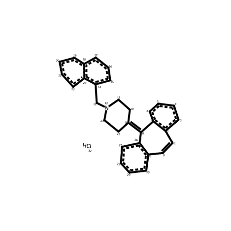 C1=Cc2ccccc2C(=C2CCN(Cc3cccc4ccccc34)CC2)c2ccccc21.Cl